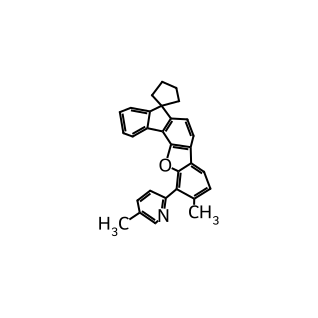 Cc1ccc(-c2c(C)ccc3c2oc2c4c(ccc23)C2(CCCC2)c2ccccc2-4)nc1